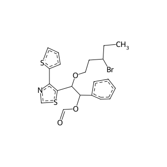 CCC(Br)CCOC(c1scnc1-c1cccs1)C(OC=O)c1ccccc1